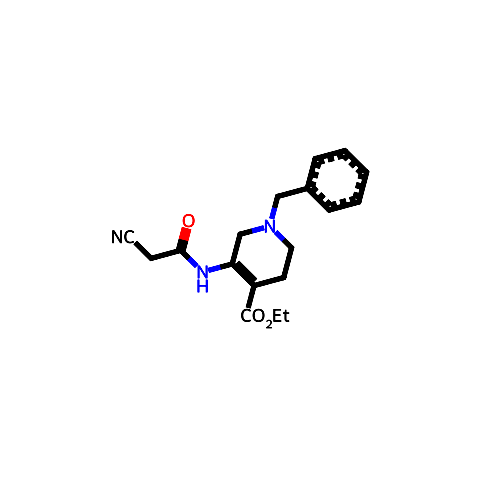 CCOC(=O)C1=C(NC(=O)CC#N)CN(Cc2ccccc2)CC1